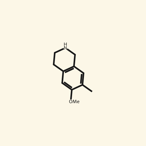 COc1cc2c(cc1C)CNCC2